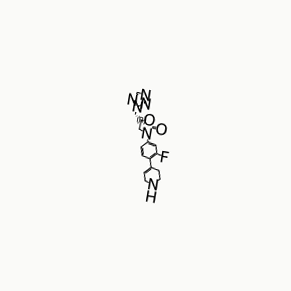 O=C1O[C@@H](Cn2ncnn2)CN1c1ccc(C2=CCNCC2)c(F)c1